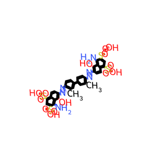 Cc1cc(-c2ccc(/N=N/c3ccc4c(S(=O)(=O)O)cc(S(=O)(=O)O)c(N)c4c3O)c(C)c2)ccc1/N=N/c1ccc2c(S(=O)(=O)O)cc(SOOO)c(N)c2c1O